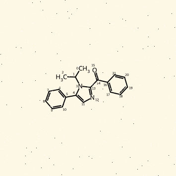 CC(C)n1c(-c2ccccc2)cnc1C(=O)c1ccccc1